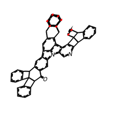 O=C1c2cc3c(cc2C2c4ccccc4C24c2ccccc2C14)c1cc2c(c4c5c6c(ncc5n3c14)C1c3ccccc3C3c4ccccc4C631)C1c3ccccc3C2c2ccccc21